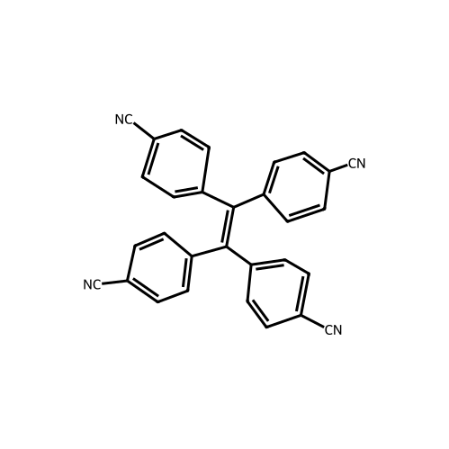 N#Cc1ccc(C(=C(c2ccc(C#N)cc2)c2ccc(C#N)cc2)c2ccc(C#N)cc2)cc1